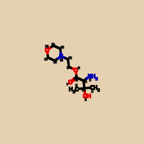 CC(C)(O)[C@H](N)C(=O)OCCN1CCOCC1